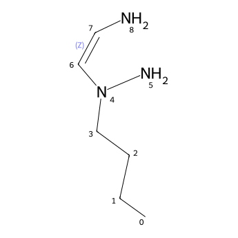 CCCCN(N)/C=C\N